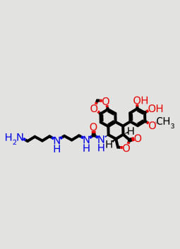 COc1cc(C2c3cc4c(cc3[C@@H](NC(=O)NCCCNCCCCN)[C@H]3COC(=O)[C@H]23)OCO4)cc(O)c1O